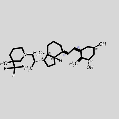 C=C1/C(=C\C=C2/CCC[C@]3(C)[C@@H](C(C)CN4CCCC(O)(C(F)(F)F)C4)CC[C@@H]23)C[C@@H](O)C[C@@H]1O